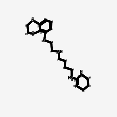 c1cc(OCCNCCCCNC2=NCCCN2)c2c(c1)OCCO2